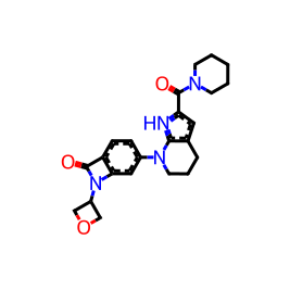 O=C(c1cc2c([nH]1)N(c1ccc3c(c1)N(C1COC1)C3=O)CCC2)N1CCCCC1